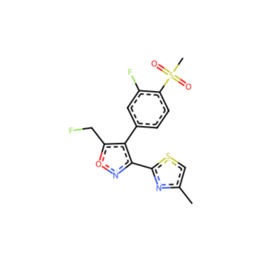 Cc1csc(-c2noc(CF)c2-c2ccc(S(C)(=O)=O)c(F)c2)n1